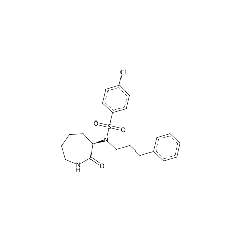 O=C1NCCCC[C@H]1N(CCCc1ccccc1)S(=O)(=O)c1ccc(Cl)cc1